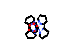 c1cc[n+]2c(c1)-c1cccc[n+]1[Co]213([n+]2ccccc2-c2cccc[n+]21)[n+]1ccccc1-c1cccc[n+]13